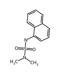 CN(C)S(=O)(=O)[N]c1cccc2ccccc12